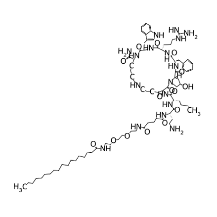 CCCCCCCCCCCCCCCCCC(=O)NCCOCCOCCNC(=O)CCCC(=O)N[C@@H](CCN)C(=O)N[C@@H](CCCC)C(=O)NC1C(=O)CCCNCCCC[C@@H](C(N)=O)NC(=O)[C@H](Cc2c[nH]c3ccccc23)NC(=O)[C@H](CCCNC(=N)N)NC(=O)[C@@H](Cc2ccccc2)NC(=O)[C@@H]2C[C@@H](O)CN2C1=O